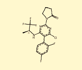 C[C@H](Nc1nc(N2CCCC2=O)nc(Cl)c1-c1ccc(F)cc1F)C(F)(F)F